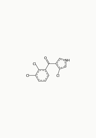 O=C(c1c[nH]cc1Cl)c1cccc(Cl)c1Cl